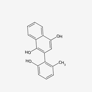 Cc1cccc(O)c1-c1cc(O)c2ccccc2c1O